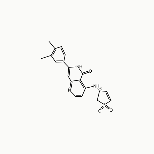 Cc1ccc(-c2cc3nccc(N[C@@H]4C=CS(=O)(=O)C4)c3c(=O)[nH]2)cc1C